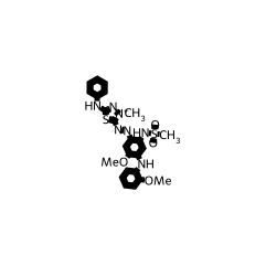 COc1ccccc1Nc1cc(NS(C)(=O)=O)c(N=Nc2sc(Nc3ccccc3)n[n+]2C)cc1OC